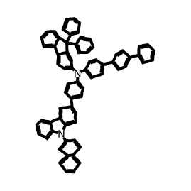 c1ccc(-c2ccc(-c3ccc(N(c4ccc(-c5ccc6c(c5)c5ccccc5n6-c5ccc6ccccc6c5)cc4)c4ccc5c(c4)C(c4ccccc4)(c4ccccc4)c4ccccc4-5)cc3)cc2)cc1